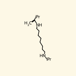 C=C(NCCCCCCCCNC(C)C)C(C)C